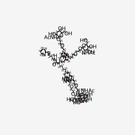 CC(=O)NC(O)C(OCCOCCn1cc(CN(CCCC[C@H](C(=O)NCCSSc2ccccn2)N(Cc2cn(CCOCCOC3OC(CO)C(O)C(O)C3NC(C)=O)nn2)Cc2cn(CCOCCOC3OC(CO)C(O)CC3(O)NC(C)=O)nn2)Cc2cn(CCOCCOC3OC(CO)C(O)C(O)C3NC(C)=O)nn2)nn1)OC(CO)C(C)O